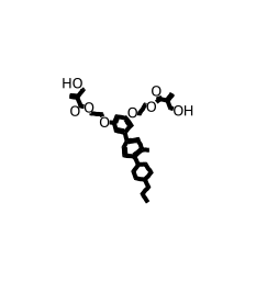 C=C(CO)C(=O)OCCOc1cc(OCCOC(=O)C(=C)CO)cc(-c2ccc(C3CCC(CCC)CC3)c(C)c2)c1